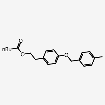 CCCCC(=O)OCCc1ccc(OCc2ccc(C)cc2)cc1